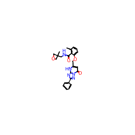 Cc1cccc(OCc2cc(=O)n3nc(-c4ccccc4)nc3[nH]2)c1C(=O)NCC1(C)COC1